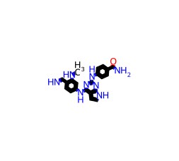 CNc1cc(Nc2nc(Nc3ccc(C(N)=O)cc3)nc3[nH]ccc23)ccc1C=N